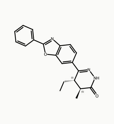 CC[C@@H]1C(c2ccc3nc(-c4ccccc4)oc3c2)=NNC(=O)[C@H]1C